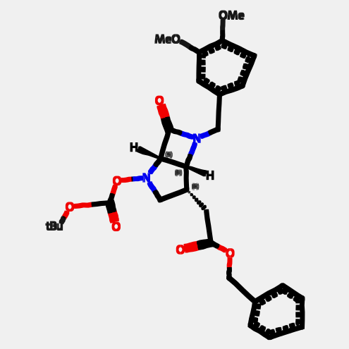 COc1ccc(CN2C(=O)[C@@H]3[C@H]2[C@H](CC(=O)OCc2ccccc2)CN3OC(=O)OC(C)(C)C)cc1OC